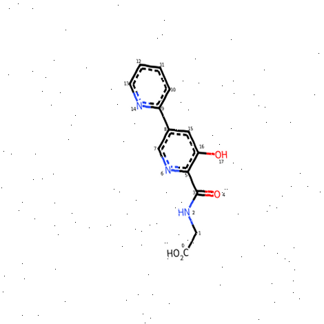 O=C(O)CNC(=O)c1ncc(-c2ccccn2)cc1O